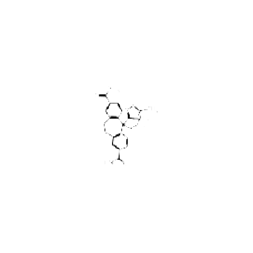 Cc1nnc(C2(C[C@@H](C)N)c3ccc(C(N)=O)cc3CCc3cc(C(N)=O)ccc32)[nH]1